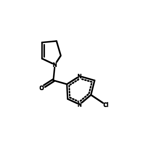 O=C(c1cnc(Cl)cn1)N1C=CCC1